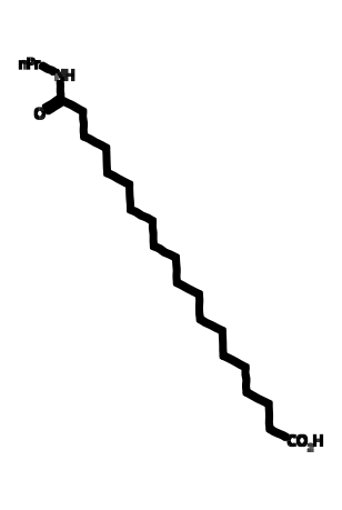 CCCNC(=O)CCCCCCCCCCCCCCCCCCC(=O)O